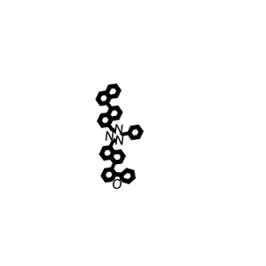 c1ccc(-c2nc(-c3cccc4c(-c5cccc6ccccc56)cccc34)nc(-c3cccc4c(-c5cccc6oc7ccccc7c56)cccc34)n2)cc1